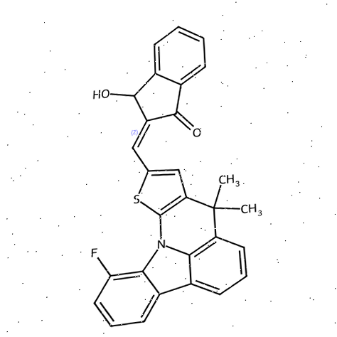 CC1(C)c2cc(/C=C3\C(=O)c4ccccc4C3O)sc2-n2c3c(F)cccc3c3cccc1c32